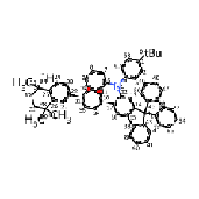 CC(C)(C)c1ccc(N(c2ccccc2)c2cc3c(cc2-c2ccc(-c4ccc5c(c4)C(C)(C)CCC5(C)C)cc2)-c2ccccc2C3(c2ccccc2)c2ccccc2)cc1